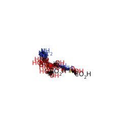 CC(O)(CC(=O)O)CC(=O)SCCNC(=O)CCNC(=O)[C@H](O)C(C)(C)COP(=O)(O)OP(=O)(O)OC[C@H]1O[C@@H](n2cnc3c(N)ncnc32)[C@H](O)[C@@H]1OP(=O)(O)O.C[C@@](O)(CCO)CC(=O)O